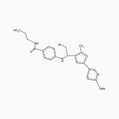 COc1ccc(-c2cc(C(CC(C)C)Nc3ccc(C(=O)NCCC(=O)O)cc3)c(C)s2)cn1